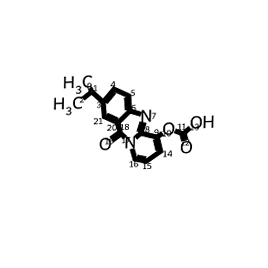 CC(C)c1ccc2nc3c(OC(=O)O)cccn3c(=O)c2c1